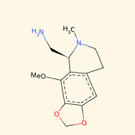 COc1c2c(cc3c1[C@@H](CN)N(C)CC3)OCO2